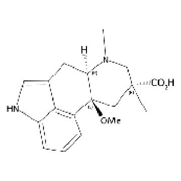 CO[C@]12C[C@@](C)(C(=O)O)CN(C)[C@@H]1Cc1c[nH]c3cccc2c13